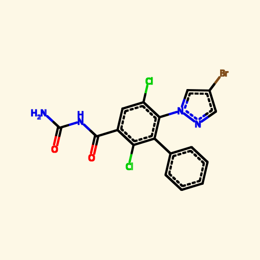 NC(=O)NC(=O)c1cc(Cl)c(-n2cc(Br)cn2)c(-c2ccccc2)c1Cl